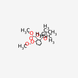 CCOC(=O)C(=O)c1c(CO[SiH](C)C(C)(C)C)cccc1OCOC